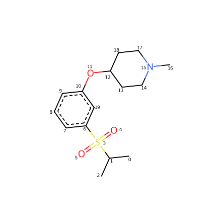 CC(C)S(=O)(=O)c1cccc(OC2CCN(C)CC2)c1